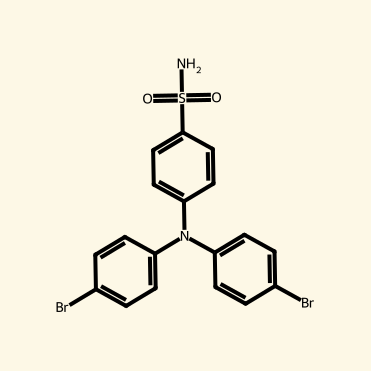 NS(=O)(=O)c1ccc(N(c2ccc(Br)cc2)c2ccc(Br)cc2)cc1